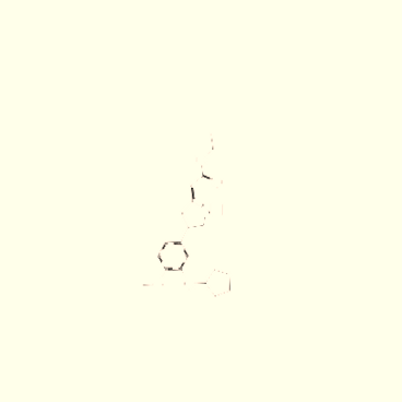 CCOC(=O)C=C1CC(c2ccc(OC)c(OC3CCCC3)c2)CN1